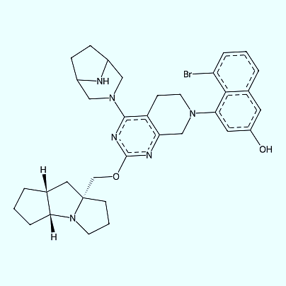 Oc1cc(N2CCc3c(nc(OC[C@]45CCCN4[C@@H]4CCC[C@@H]4C5)nc3N3CC4CCC(C3)N4)C2)c2c(Br)cccc2c1